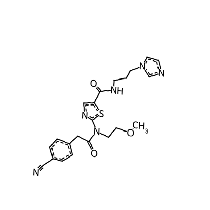 COCCN(C(=O)Cc1ccc(C#N)cc1)c1ncc(C(=O)NCCCn2ccnc2)s1